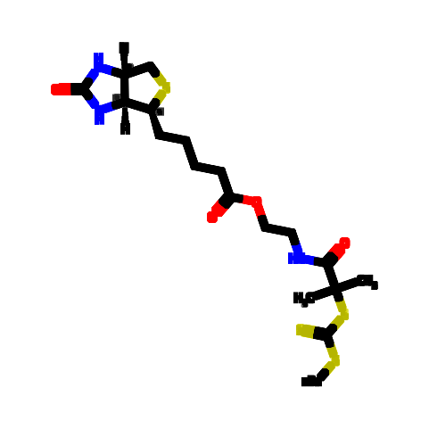 CCCCSC(=S)SC(C)(C)C(=O)NCCOC(=O)CCCC[C@@H]1SC[C@@H]2NC(=O)N[C@@H]21